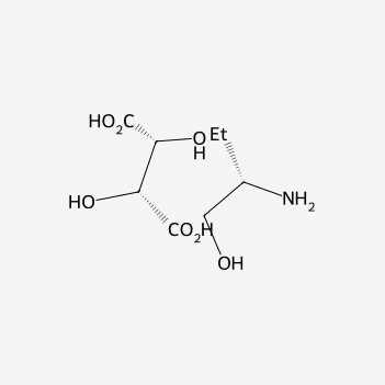 CC[C@H](N)CO.O=C(O)[C@H](O)[C@@H](O)C(=O)O